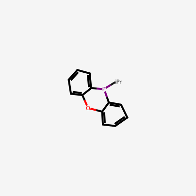 CC(C)P1c2ccccc2Oc2ccccc21